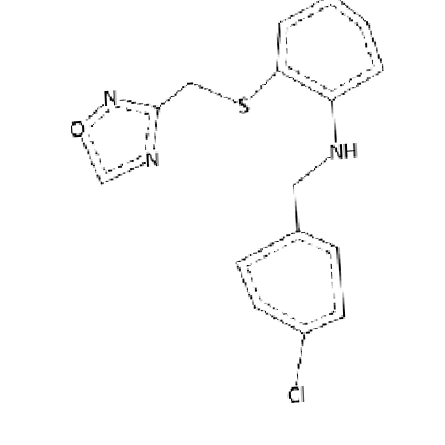 Clc1ccc(CNc2ccccc2SCc2ncon2)cc1